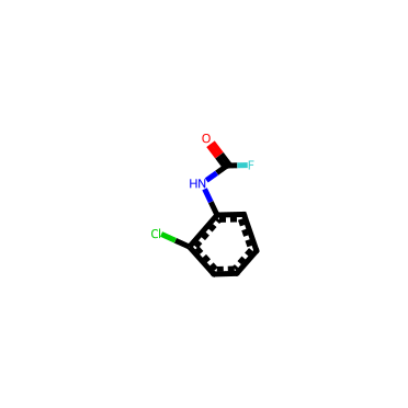 O=C(F)Nc1ccccc1Cl